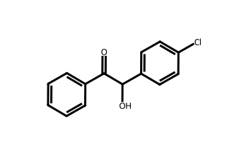 O=C(c1ccccc1)C(O)c1ccc(Cl)cc1